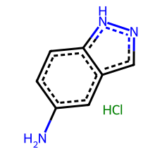 Cl.Nc1ccc2[nH]ncc2c1